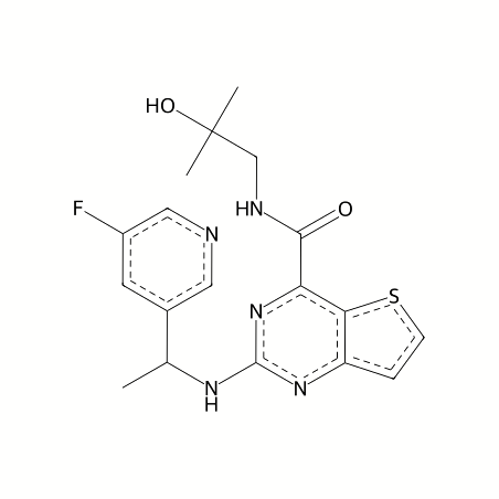 CC(Nc1nc(C(=O)NCC(C)(C)O)c2sccc2n1)c1cncc(F)c1